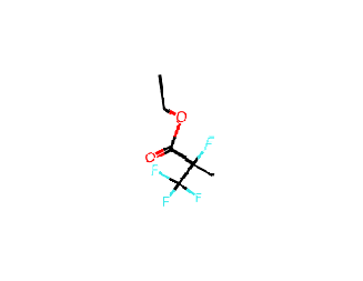 CCOC(=O)C(C)(F)C(F)(F)F